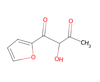 CC(=O)C(O)C(=O)c1ccco1